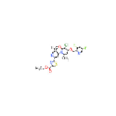 CCOC(=O)c1csc(-c2cc(-n3c(C)cc(OCc4ncc(F)cc4F)c(Cl)c3=O)c(C)cn2)n1